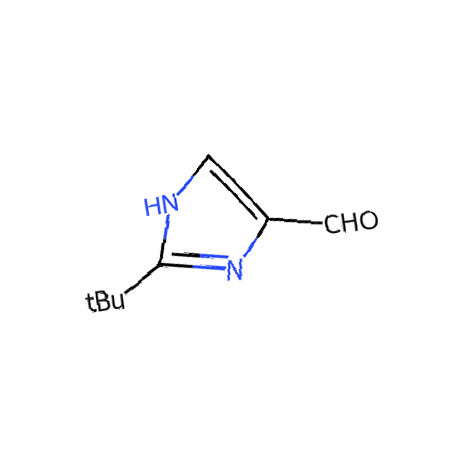 CC(C)(C)c1nc(C=O)c[nH]1